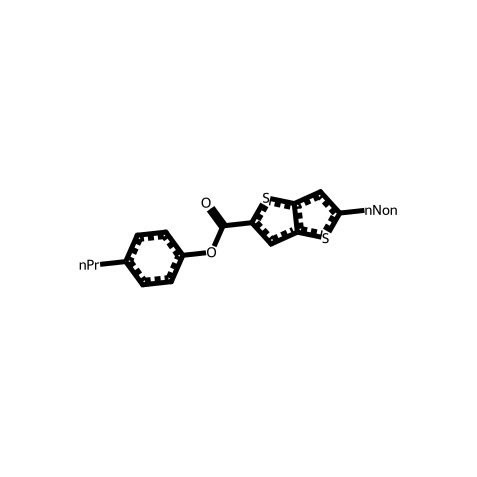 CCCCCCCCCc1cc2sc(C(=O)Oc3ccc(CCC)cc3)cc2s1